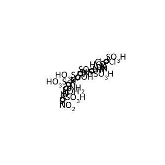 Cc1nn(-c2cc(Cl)c(S(=O)(=O)O)cc2Cl)c(O)c1N=Nc1ccc(N=Nc2c(S(=O)(=O)O)cc3c(S(=O)(=O)O)c(N=Nc4cc(S(=O)(=O)O)c5ccc(N=Nc6ccc([N+](=O)[O-])cc6S(=O)(=O)O)c(O)c5c4N)ccc3c2O)cc1S(=O)(=O)O